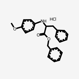 COc1ccc(NC(Cc2ccccc2)C(=O)OCc2ccccc2)cc1.Cl